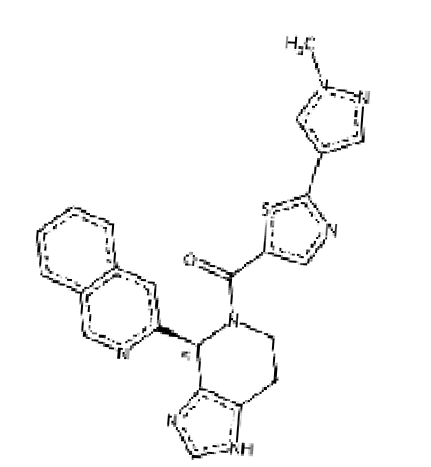 Cn1cc(-c2ncc(C(=O)N3CCc4[nH]cnc4[C@H]3c3cc4ccccc4cn3)s2)cn1